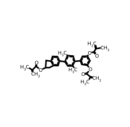 C=C(C)C(=O)Oc1cc(OC(=O)C(=C)C)cc(-c2cc(C)c(-c3ccc4c(c3)CC(OC(=O)C(=C)C)C4)cc2C)c1